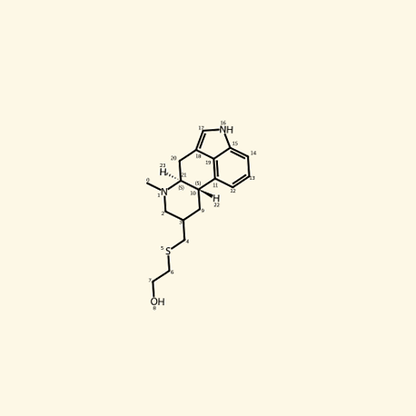 CN1CC(CSCCO)C[C@H]2c3cccc4[nH]cc(c34)C[C@@H]21